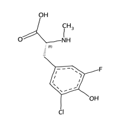 CN[C@H](Cc1cc(F)c(O)c(Cl)c1)C(=O)O